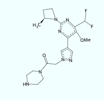 COc1c(-c2cnn(CC(=O)N3CCNCC3)c2)nc(N2CC[C@@H]2C)nc1C(F)F